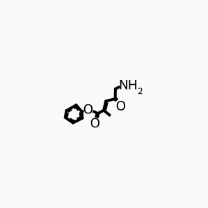 CC(=CC(=O)CN)C(=O)Oc1ccccc1